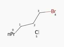 CCCCCCBr.[C]